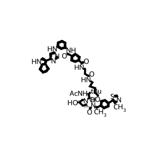 CC(=O)N[C@H](C(=O)N1C[C@H](O)C[C@H]1C(=O)N[C@@H](C)c1ccc(-c2scnc2C)cc1OCCCCCNC(=O)CCNC(=O)c1ccc(C(=O)Nc2cccc(Nc3cc(-c4c[nH]c5ccccc45)ncn3)c2)cc1)C(C)(C)C